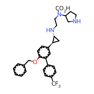 O=C(O)N(CCN[C@@H]1C[C@H]1c1ccc(OCc2ccccc2)c(-c2ccc(C(F)(F)F)cc2)c1)C1CCNC1